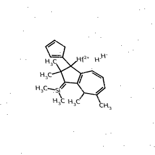 CC1=CC=CC2=C(C(=[Si](C)C)C(C)(C)[C]2([Hf+2])C2=CC=CC2)C1C.[H-].[H-]